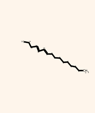 CCCCCCCCCC=CC=CCCI